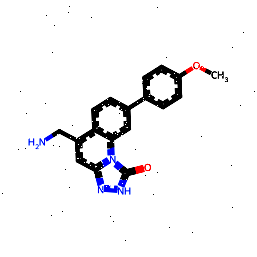 COc1ccc(-c2ccc3c(CN)cc4n[nH]c(=O)n4c3c2)cc1